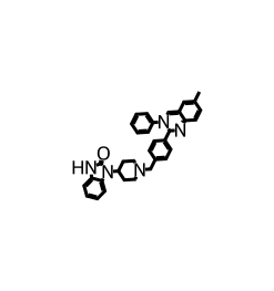 Cc1ccc2c(c1)=CN(c1ccccc1)C(c1ccc(CN3CCC(n4c(=O)[nH]c5ccccc54)CC3)cc1)N=2